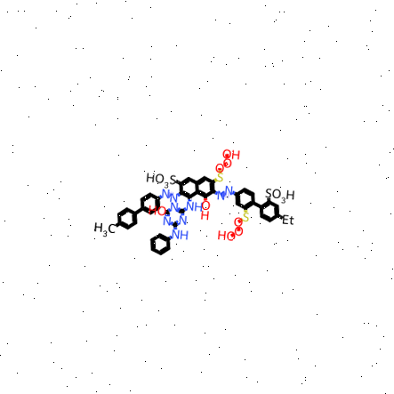 CCc1ccc(-c2ccc(/N=N/c3c(SOOO)cc4cc(S(=O)(=O)O)c(/N=N/c5ccc(-c6ccc(C)cc6)cc5)c(Nc5nc(O)nc(Nc6ccccc6)n5)c4c3O)cc2SOOO)c(S(=O)(=O)O)c1